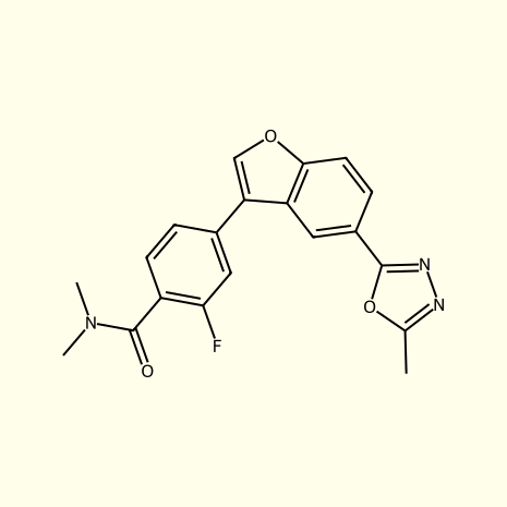 Cc1nnc(-c2ccc3occ(-c4ccc(C(=O)N(C)C)c(F)c4)c3c2)o1